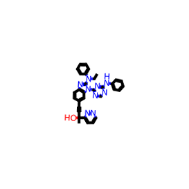 CCN(c1ccccc1)c1nc2ccc(C#CC(C)(O)c3cccnn3)cc2n1-c1ncnc(Nc2ccccc2)n1